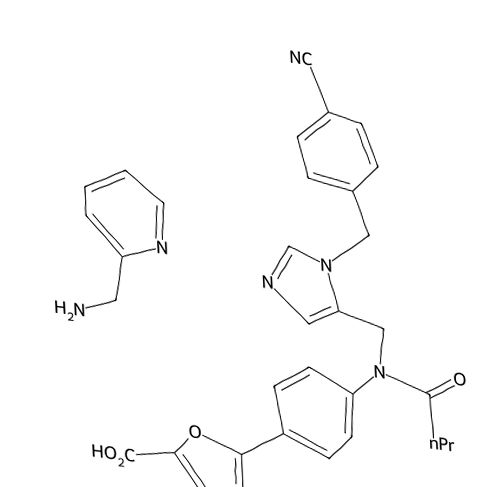 CCCC(=O)N(Cc1cncn1Cc1ccc(C#N)cc1)c1ccc(-c2ccc(C(=O)O)o2)cc1.NCc1ccccn1